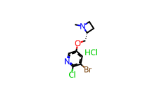 CN1CC[C@@H]1COc1cnc(Cl)c(Br)c1.Cl